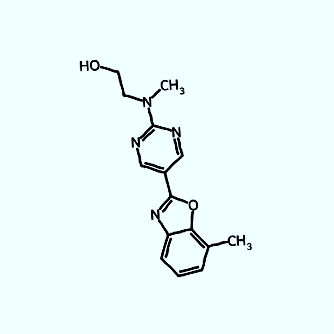 Cc1cccc2nc(-c3cnc(N(C)CCO)nc3)oc12